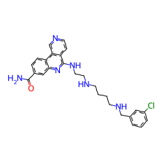 NC(=O)c1ccc2c(c1)nc(NCCNCCCCNCc1cccc(Cl)c1)c1ccncc12